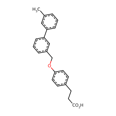 Cc1cccc(-c2cccc(COc3ccc(CCC(=O)O)cc3)c2)c1